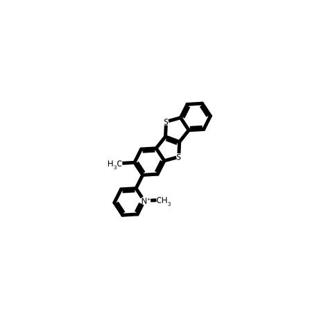 Cc1cc2c(cc1-c1cccc[n+]1C)sc1c3ccccc3sc21